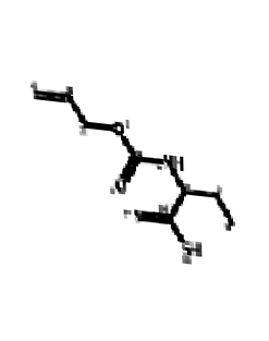 C=CCOC(=O)NC(CC)C(=S)S